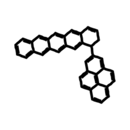 C1=Cc2cc3cc4cc5ccccc5cc4cc3cc2C(c2cc3ccc4cccc5ccc(c2)c3c45)C1